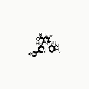 Cn1ccc(-c2cncc(Nc3nc(N[C@@H]4CCCC[C@@H]4N)c(F)cc3C(N)=O)c2)c1